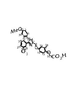 COc1ccc(-n2cc(COc3ccc(OCC(=O)O)c(C)c3)nc2-c2cccc(C(F)(F)F)c2)cc1